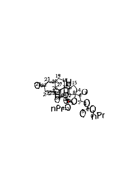 CCCOC(=O)OCC(=O)[C@@]1(OC(=O)OCCC)CC[C@H]2[C@@H]3CCC4=CC(=O)C=C[C@]4(C)[C@H]3C(=O)C[C@@]21C